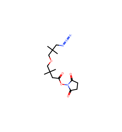 CC(C)(CN=[N+]=[N-])COCC(C)(C)CC(=O)ON1C(=O)CCC1=O